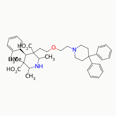 COc1ccccc1[C@@H]1C(C)(C(=O)O)C(C)NC(C)C1(CCOCCN1CCC(c2ccccc2)(c2ccccc2)CC1)C(=O)O